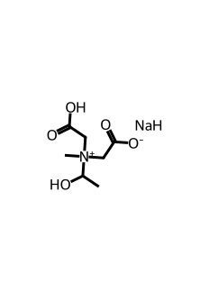 CC(O)[N+](C)(CC(=O)[O-])CC(=O)O.[NaH]